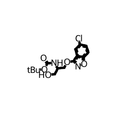 CC(C)(C)OC(=O)NC(CO)COc1noc2ccc(Cl)cc12